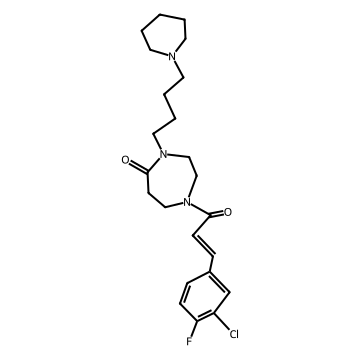 O=C(/C=C/c1ccc(F)c(Cl)c1)N1CCC(=O)N(CCCCN2CCCCC2)CC1